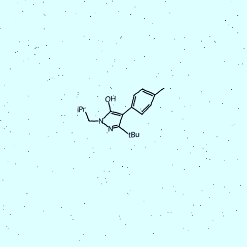 Cc1ccc(-c2c(C(C)(C)C)nn(CC(C)C)c2O)cc1